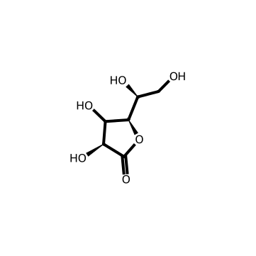 O=C1O[C@H]([C@@H](O)CO)C(O)[C@@H]1O